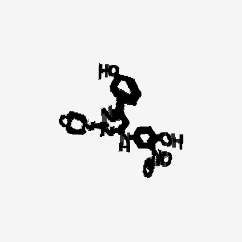 O=[N+]([O-])c1cc(Nc2cc(-c3cccc(O)c3)nc(N3CCOCC3)n2)ccc1O